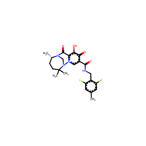 Cc1cc(F)c(CNC(=O)c2cn3c(c(O)c2=O)C(=O)N2CN3C(C)(C)CC[C@@H]2C)c(F)c1